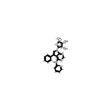 C[C@H]1O[C@@H](n2cc(-c3ccccc3)c3c(Nc4ccccn4)ncnc32)[C@@H](O)[C@H]1O